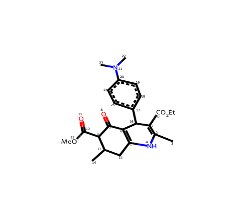 CCOC(=O)C1=C(C)NC2=C(C(=O)C(C(=O)OC)C(C)C2)C1c1ccc(N(C)C)cc1